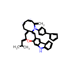 C=C1/C=C\C=C/CC2=C/C(=C/C(C)C)Oc3cc4[nH]c5ccccc5c4cc3/C=C\2N1c1ccc(-c2ccccc2)cc1